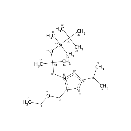 CCOCc1nc(C(C)C)cn1CC(C)(C)O[Si](C)(C)C(C)(C)C